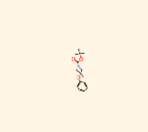 CC(C)(C)OC(=O)N1CC(C)(Oc2ccccc2)C1